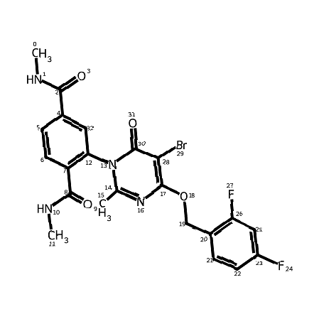 CNC(=O)c1ccc(C(=O)NC)c(-n2c(C)nc(OCc3ccc(F)cc3F)c(Br)c2=O)c1